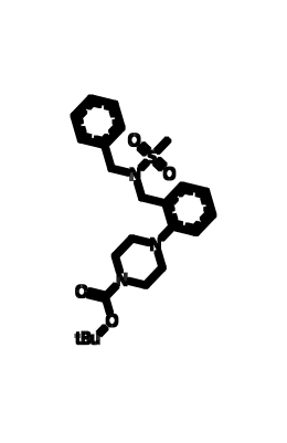 CC(C)(C)OC(=O)N1CCN(c2ccccc2CN(Cc2ccccc2)S(C)(=O)=O)CC1